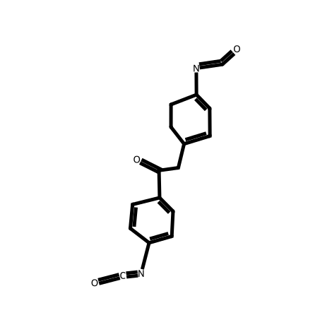 O=C=NC1=CC=C(CC(=O)c2ccc(N=C=O)cc2)CC1